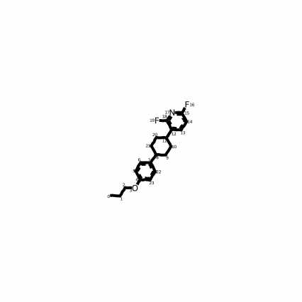 CCCOc1ccc(C2CCC(c3ccc(F)nc3F)CC2)cc1